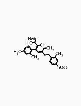 C=C/C(=C\C(=C(/C)C(=C)NC)c1ccc(C)cc1C)CCc1ccc(CCCCCCCC)cc1C